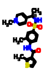 Cc1cc(S(=O)(=O)N[C@H](C)C2=CCN(C)C=C2)ccc1NC(=O)c1ccsc1C